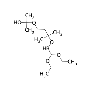 CCOC(BOC(C)(C)CCOC(C)(C)O)OCC